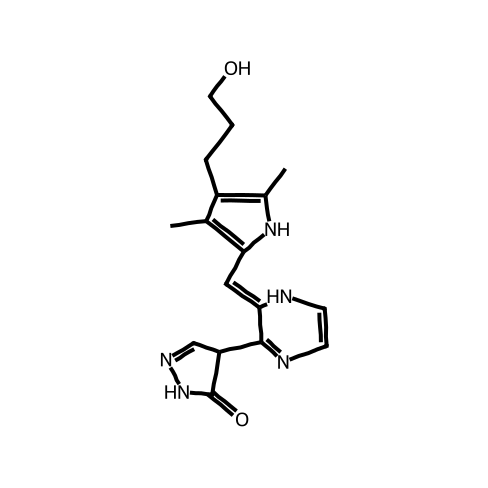 Cc1[nH]c(C=C2NC=CN=C2C2C=NNC2=O)c(C)c1CCCO